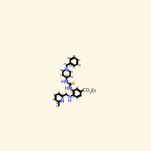 CCOC(=O)c1ccc(NCc2cccc(C)n2)c(NC(=S)NC2CCN(Cc3ccccc3)CC2)c1